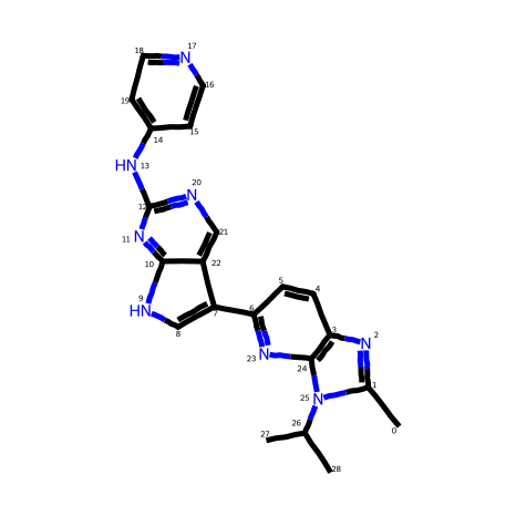 Cc1nc2ccc(-c3c[nH]c4nc(Nc5ccncc5)ncc34)nc2n1C(C)C